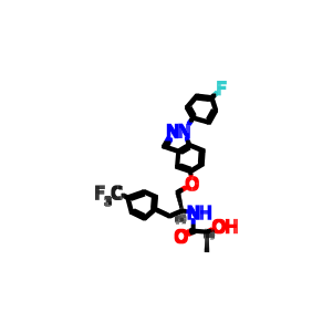 C[C@H](O)C(=O)N[C@H](COc1ccc2c(cnn2-c2ccc(F)cc2)c1)Cc1ccc(C(F)(F)F)cc1